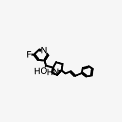 O[C@@H](c1cncc(F)c1)C12CCC(C/C=C/c3ccccc3)(CC1)N2